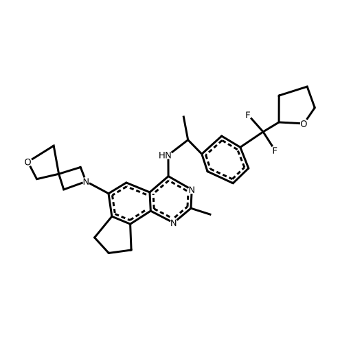 Cc1nc(NC(C)c2cccc(C(F)(F)C3CCCO3)c2)c2cc(N3CC4(COC4)C3)c3c(c2n1)CCC3